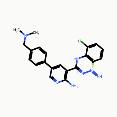 CN(C)Cc1ccc(-c2cnc(N)c(/C(=N/N=N)Nc3c(F)cccc3Cl)c2)cc1